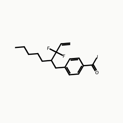 C=CC(F)(F)C(CCCCC)Cc1ccc(C(=O)I)cc1